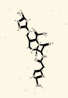 Nc1nc(CC(=O)NC2C(=O)N3C(C(=O)O)=C(CSc4nnc(N)s4)CS[C@@H]23)cs1